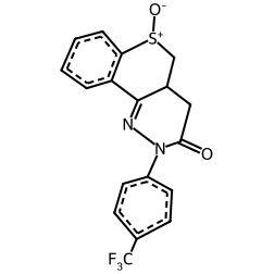 O=C1CC2C[S+]([O-])c3ccccc3C2=NN1c1ccc(C(F)(F)F)cc1